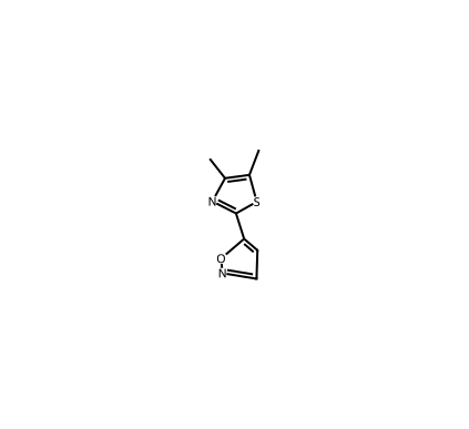 Cc1nc(-c2ccno2)sc1C